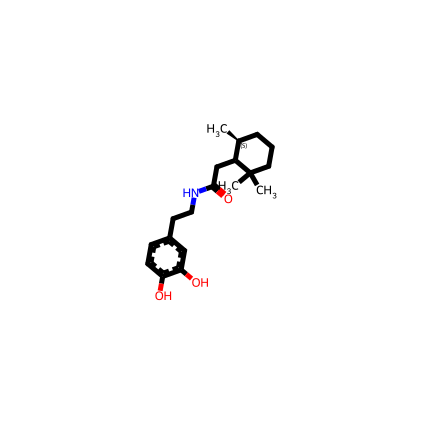 C[C@H]1CCCC(C)(C)C1CC(=O)NCCc1ccc(O)c(O)c1